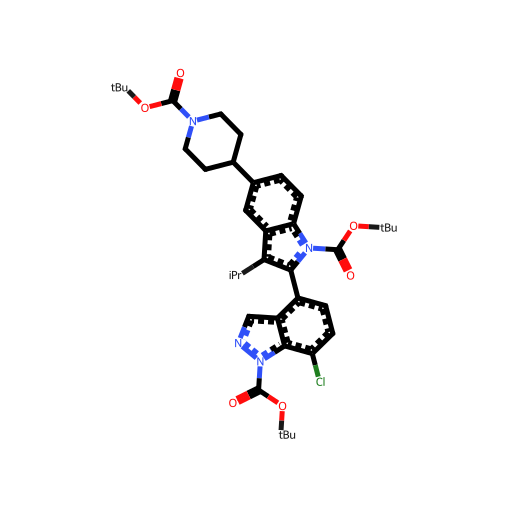 CC(C)c1c(-c2ccc(Cl)c3c2cnn3C(=O)OC(C)(C)C)n(C(=O)OC(C)(C)C)c2ccc(C3CCN(C(=O)OC(C)(C)C)CC3)cc12